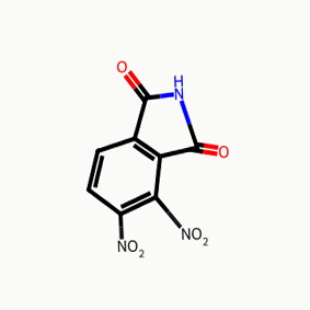 O=C1NC(=O)c2c1ccc([N+](=O)[O-])c2[N+](=O)[O-]